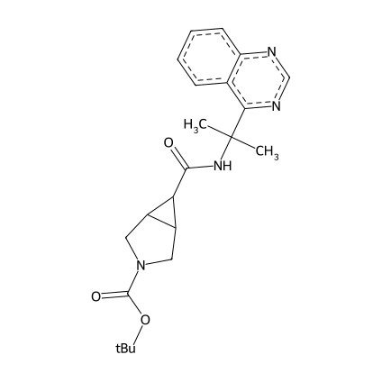 CC(C)(C)OC(=O)N1CC2C(C1)C2C(=O)NC(C)(C)c1ncnc2ccccc12